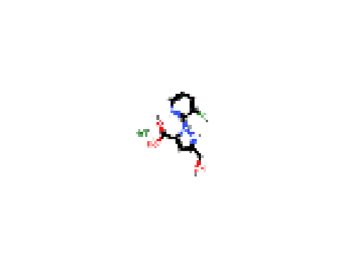 Cl.O=C(O)c1cc(CO)nn1-c1ncccc1Cl